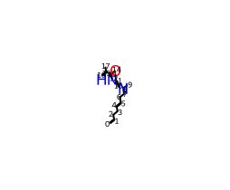 C=CCC/C=C/CCN(C)CCNC(=O)C(=C)C